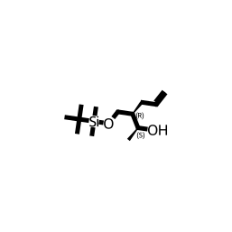 C=CC[C@H](CO[Si](C)(C)C(C)(C)C)[C@H](C)O